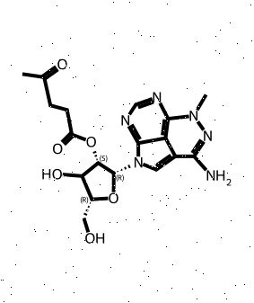 CC(=O)CCC(=O)O[C@H]1C(O)[C@@H](CO)O[C@H]1n1cc2c3c(ncnc31)N(C)N=C2N